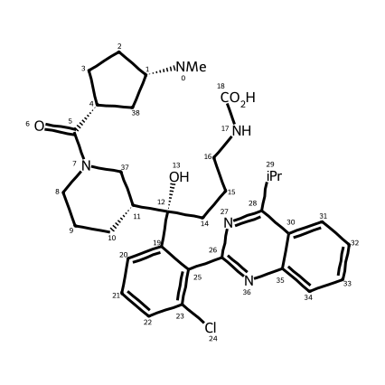 CN[C@H]1CC[C@@H](C(=O)N2CCC[C@@H]([C@@](O)(CCCNC(=O)O)c3cccc(Cl)c3-c3nc(C(C)C)c4ccccc4n3)C2)C1